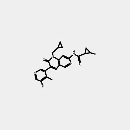 Cc1c(F)cncc1-c1cc2cnc(NC(=O)C3CC3F)cc2n(CC2CC2)c1=O